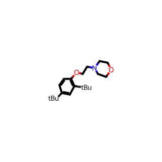 CC(C)(C)c1ccc(OCCN2CCOCC2)c(C(C)(C)C)c1